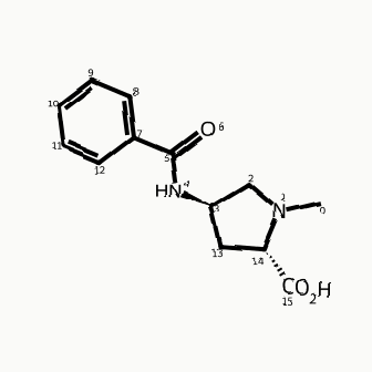 CN1C[C@H](NC(=O)c2ccccc2)C[C@H]1C(=O)O